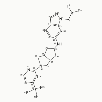 FC(F)Cn1ncc2ncc(NC3CC4CN(c5nccc(C(F)(F)F)n5)CC4C3)nc21